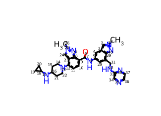 Cn1cc2cc(NC(=O)c3ccc(N4CCC(NC5CC5)CC4)c4cn(C)nc34)cc(CNc3cnccn3)c2n1